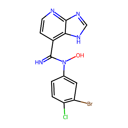 N=C(c1ccnc2nc[nH]c12)N(O)c1ccc(Cl)c(Br)c1